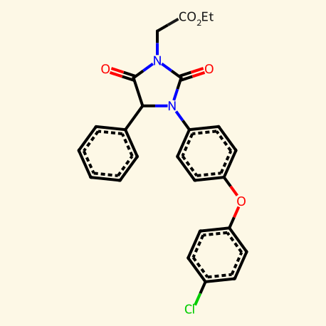 CCOC(=O)CN1C(=O)C(c2ccccc2)N(c2ccc(Oc3ccc(Cl)cc3)cc2)C1=O